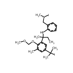 CCC(C)(Pc1ccccc1CN(C)I)c1cc(C(C)(C)I)cc(C)c1OCOC